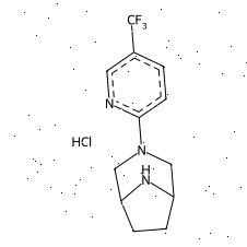 Cl.FC(F)(F)c1ccc(N2CC3CCC(C2)N3)nc1